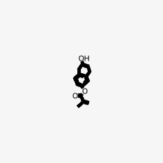 C=C(C)C(=O)Oc1ccc2c(c1)CC=C(O)C2